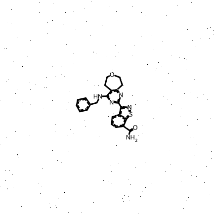 NC(=O)c1cccc2c(-c3nc4c(c(NCc5ccccc5)n3)CCOCC4)nsc12